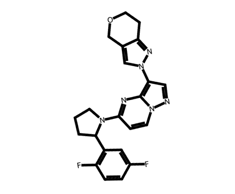 Fc1ccc(F)c(C2CCCN2c2ccn3ncc(-n4cc5c(n4)CCOC5)c3n2)c1